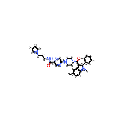 Cc1ccc2c(c1)c(C(=O)N1CCN(c3cnc(C(=O)NCCCn4cccc4)cn3)CC1)c(-c1ccccc1)n2C